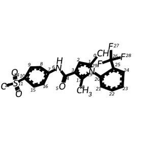 Cc1cc(C(=O)Nc2ccc(S(C)(=O)=O)cc2)c(C)n1-c1ccccc1C(F)(F)F